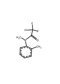 Cc1cc[c]cc1N(C)C(=O)C(F)(F)F